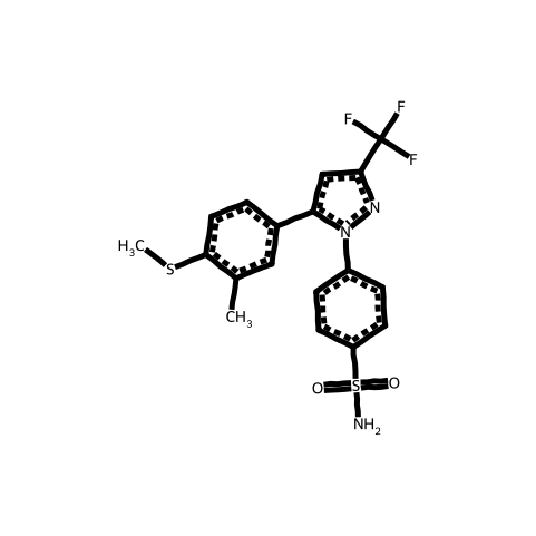 CSc1ccc(-c2cc(C(F)(F)F)nn2-c2ccc(S(N)(=O)=O)cc2)cc1C